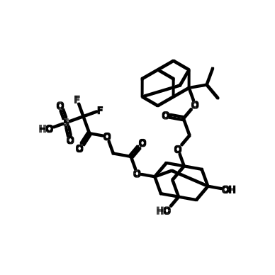 CC(C)C1(OC(=O)COC23CC4(O)CC(O)(C2)CC(OC(=O)COC(=O)C(F)(F)S(=O)(=O)O)(C4)C3)C2CC3CC(C2)CC1C3